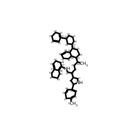 CC1=CC=C(C2CC(C(CCC(C)C3CCC(C4CCCC(C5=CCCC=C5)C4)C4C=CCCC43)CNC3=C4CCCCC4=CCC3)CN2)C=CC1